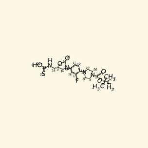 CC(C)(C)OC(=O)N1CCN(c2ccc(N3CC(CNC(O)=S)OC3=O)cc2F)CC1